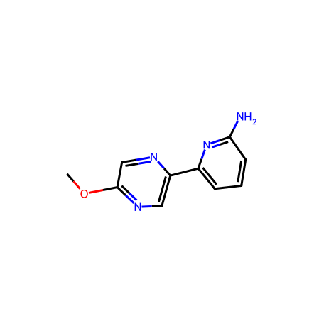 COc1cnc(-c2cccc(N)n2)cn1